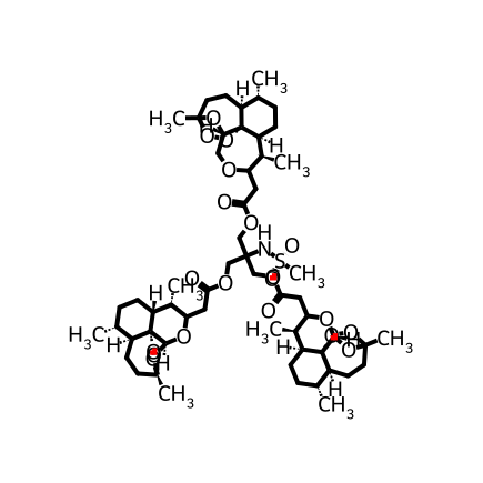 C[C@@H]1CC[C@H]2[C@@H](C)C(CC(=O)OCC(COC(=O)CC3O[C@H]4O[C@@]5(C)CC[C@H]6[C@H](C)CC[C@H]([C@@H]3C)[C@@]46OO5)(COC(=O)CC3OC[C@@H]4OC5(C)CC[C@H]6[C@H](C)CC[C@@H]([C@H]3C)[C@@]46OO5)NS(C)(=O)=O)O[C@@H]3OC4(C)CC[C@@H]1[C@]32OO4